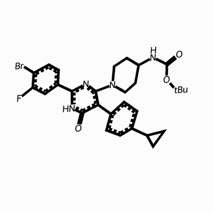 CC(C)(C)OC(=O)NC1CCN(c2nc(-c3ccc(Br)c(F)c3)[nH]c(=O)c2-c2ccc(C3CC3)cc2)CC1